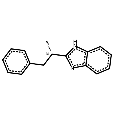 C[C@@H](Cc1ccccc1)c1nc2ccccc2[nH]1